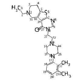 CCN1CCc2sc3ncn(CCN4CCN(c5cccc(C)c5C)CC4)c(=O)c3c2C1